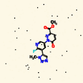 COC(=O)c1ccc(=O)n(-c2cnc(F)c(-c3cnnn3C)c2)n1